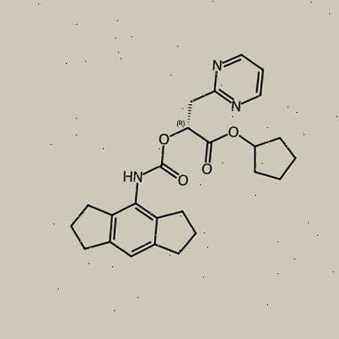 O=C(Nc1c2c(cc3c1CCC3)CCC2)O[C@H](Cc1ncccn1)C(=O)OC1CCCC1